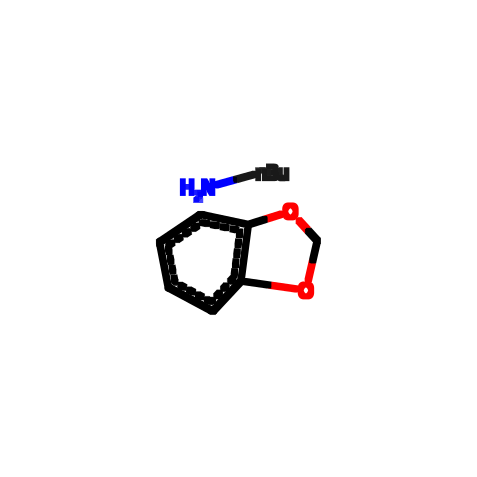 CCCCN.c1ccc2c(c1)OCO2